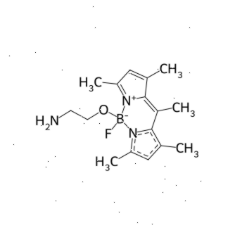 CC1=CC(C)=[N+]2C1=C(C)c1c(C)cc(C)n1[B-]2(F)OCCN